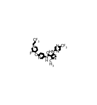 Cc1nsc(Nc2cnc(C(F)(F)F)cn2)c1C(=O)Nc1ccc(O[C@H]2CCN(CCC(F)(F)F)C[C@@H]2F)nc1